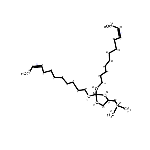 CCCCCCCC/C=C\CCCCCCCCOC1(OCCCCCCCC/C=C\CCCCCCCC)OCC(CN(C)C)O1